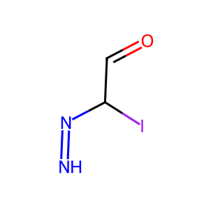 N=NC(I)C=O